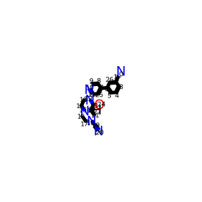 N#Cc1cccc(-c2ccnc(N3CCN4CCN(C#N)C[C@@H]4C3=O)c2)c1